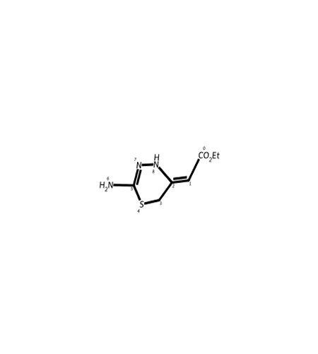 CCOC(=O)/C=C1/CSC(N)=NN1